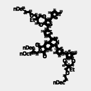 CCCCCCCCCCCCOCC1(CC)COc2c(C)sc(-c3ccc(-c4nnc(-c5ccc(-c6sc(-c7ccc(C)s7)c7c6OCC(CC)(COCCCCCCCCCCCC)CO7)s5)c5cc6c(cc45)C(=O)N(CC(CCCCCCCC)CCCCCCCCCC)C6=O)s3)c2OC1